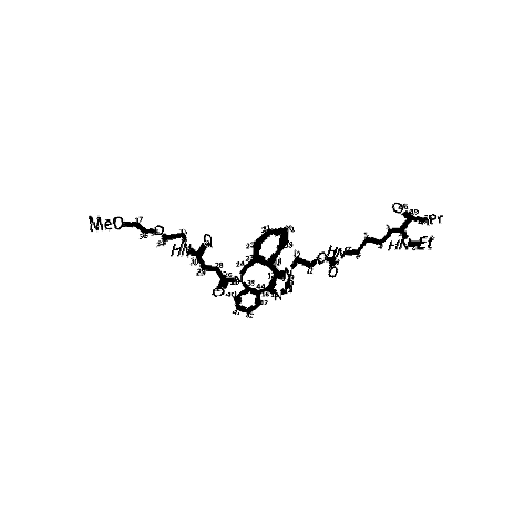 CCNC(CCCCNC(=O)OCCn1nnc2c1-c1ccccc1CN(C(=O)CCC(=O)NCCOCCOC)c1ccccc1-2)C(=O)C(C)C